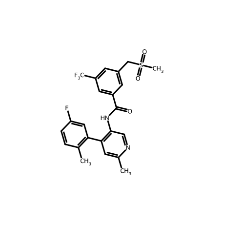 Cc1cc(-c2cc(F)ccc2C)c(NC(=O)c2cc(CS(C)(=O)=O)cc(C(F)(F)F)c2)cn1